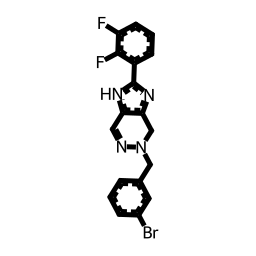 Fc1cccc(-c2nc3c([nH]2)C=NN(Cc2cccc(Br)c2)C3)c1F